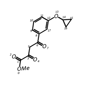 COC(=O)C(=O)CC(=O)c1cccc(OC2CC2)c1